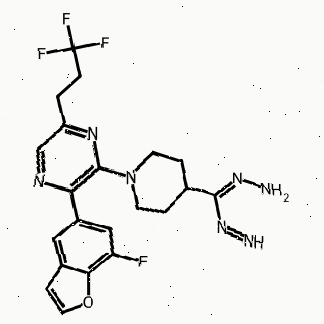 N=N/C(=N\N)C1CCN(c2nc(CCC(F)(F)F)cnc2-c2cc(F)c3occc3c2)CC1